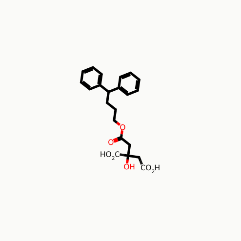 O=C(O)CC(O)(CC(=O)OCCCC(c1ccccc1)c1ccccc1)C(=O)O